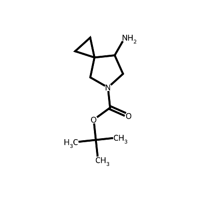 CC(C)(C)OC(=O)N1CC(N)C2(CC2)C1